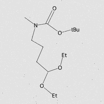 CCOC(CCCN(C)C(=O)OC(C)(C)C)OCC